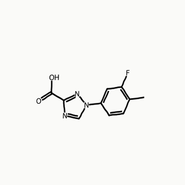 Cc1ccc(-n2cnc(C(=O)O)n2)cc1F